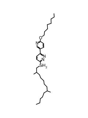 CCCCCCCCOc1ccc(-c2ccc([SiH2]CC(C)CCCCCC(C)CCCCC)nn2)cn1